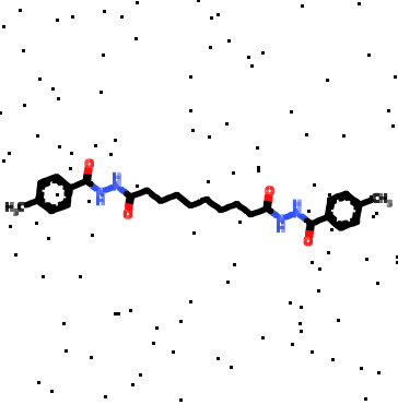 Cc1ccc(C(=O)NNC(=O)CCCCCCCCC(=O)NNC(=O)c2ccc(C)cc2)cc1